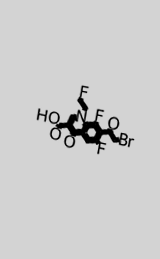 O=C(CBr)c1c(F)cc2c(=O)c(C(=O)O)cn(CCF)c2c1F